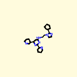 c1ccc(-c2nccn2CCNc2cc(-c3cccnc3)nc(-c3ccccn3)n2)cc1